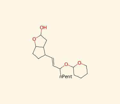 CCCCCC(C=CC1CCC2OC(O)CC12)OC1CCCCO1